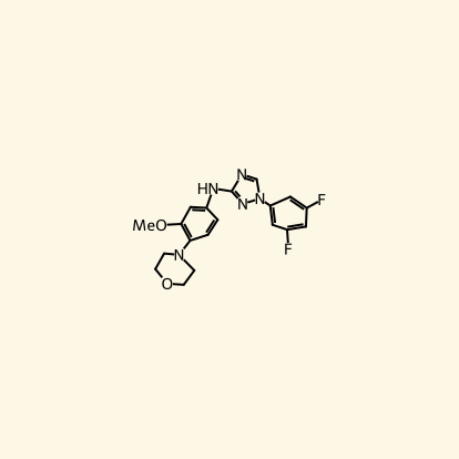 COc1cc(Nc2ncn(-c3cc(F)cc(F)c3)n2)ccc1N1CCOCC1